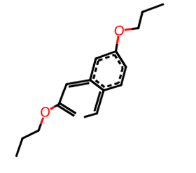 C=C(/C=c1/cc(OCCC)cc/c1=C/C)OCCC